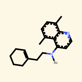 CC(=O)N(CCC1=CCCCC1)c1ccnc2c(C)ccc(C)c12